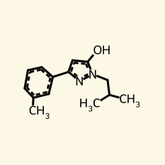 Cc1cccc(-c2cc(O)n(CC(C)C)n2)c1